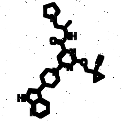 C#CC1(COc2nc(C(=O)N[C@H](C)CN3CCCC3)cc(N3CCC(c4c[nH]c5ncccc45)CC3)n2)CC1